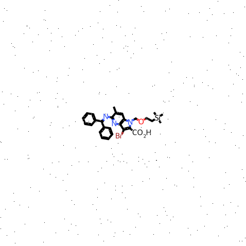 Cc1cc2c(nc1N=C(c1ccccc1)c1ccccc1)c(Br)c(C(=O)O)n2COCC[Si](C)(C)C